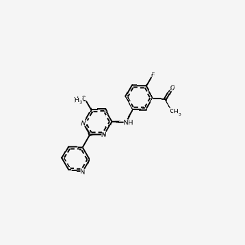 CC(=O)c1cc(Nc2cc(C)nc(-c3cccnc3)n2)ccc1F